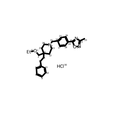 CCOCC1(CCc2ccccc2)CCN(Cc2ccc(-c3nc(C)no3)cc2)CC1.Cl